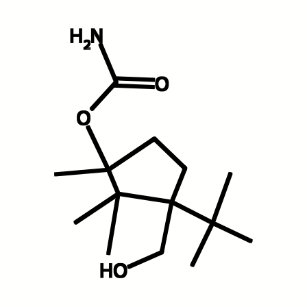 CC(C)(C)C1(CO)CCC(C)(OC(N)=O)C1(C)C